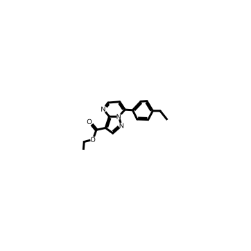 CCOC(=O)c1cnn2c(-c3ccc(CC)cc3)ccnc12